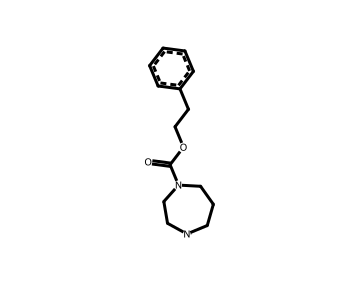 O=C(OCCc1ccccc1)N1CCC[N]CC1